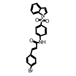 O=C(C=Cc1ccc(Br)cc1)Nc1ccc(S(=O)(=O)n2ccc3ccccc32)cc1